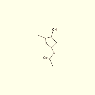 CC(=O)OC1CC(O)C(C)O1